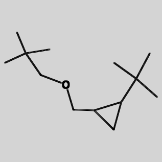 CC(C)(C)COCC1CC1C(C)(C)C